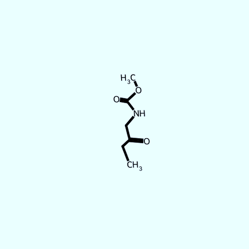 CCC(=O)CNC(=O)OC